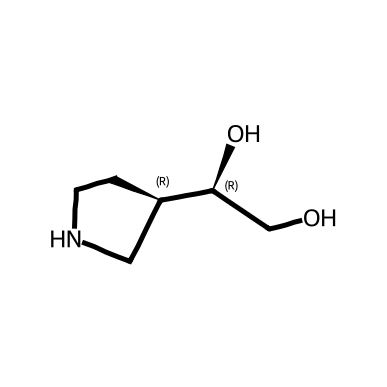 OC[C@H](O)[C@@H]1CCNC1